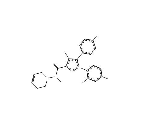 Cc1c(C(=O)N(C)N2CC=CCC2)nn(-c2ccc(Cl)cc2Cl)c1-c1ccc(Cl)cc1